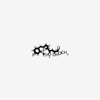 COC(=O)C(O)=CC(=O)c1ccc(Cc2ccc(F)cc2OC)o1